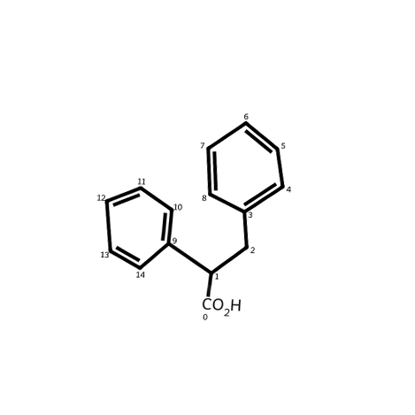 O=C(O)C(Cc1ccccc1)c1ccccc1